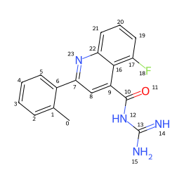 Cc1ccccc1-c1cc(C(=O)NC(=N)N)c2c(F)cccc2n1